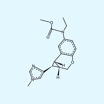 CCN(C(=O)OC)c1ccc2c(c1)[C@@H]1[C@H](CO2)[C@H]1c1cn(C)cn1